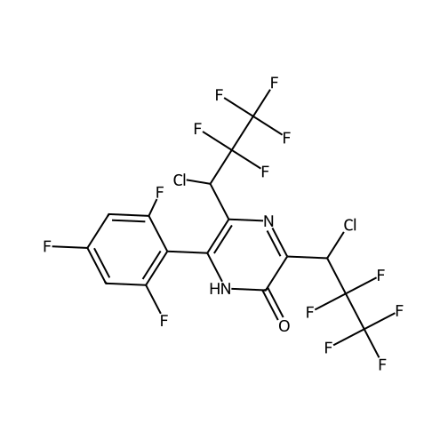 O=c1[nH]c(-c2c(F)cc(F)cc2F)c(C(Cl)C(F)(F)C(F)(F)F)nc1C(Cl)C(F)(F)C(F)(F)F